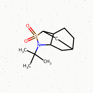 CC(C)(C)N1C2CC3CCC2C(C3)S1(=O)=O